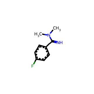 CN(C)C(=N)c1ccc(F)cc1